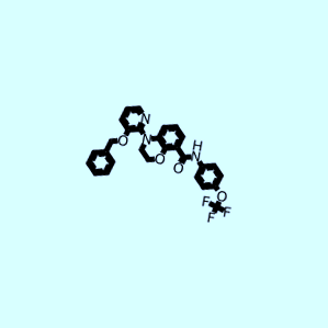 O=C(Nc1ccc(OC(F)(F)F)cc1)c1cccc2c1OCCN2c1ncccc1OCc1ccccc1